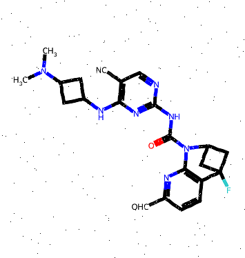 CN(C)C1CC(Nc2nc(NC(=O)N3c4nc(C=O)ccc4C4(F)CC3C4)ncc2C#N)C1